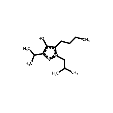 CCCCc1c(O)c(C(C)C)nn1CC(C)C